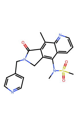 Cc1c2c(c(N(C)S(C)(=O)=O)c3cccnc13)CN(Cc1ccncc1)C2=O